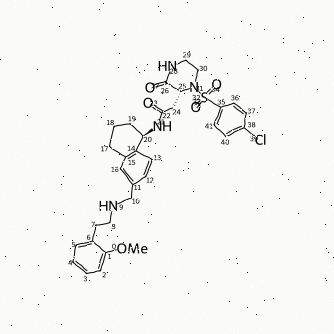 COc1ccccc1CCNCc1ccc2c(c1)CCC[C@H]2NC(=O)C[C@@H]1C(=O)NCCN1S(=O)(=O)c1ccc(Cl)cc1